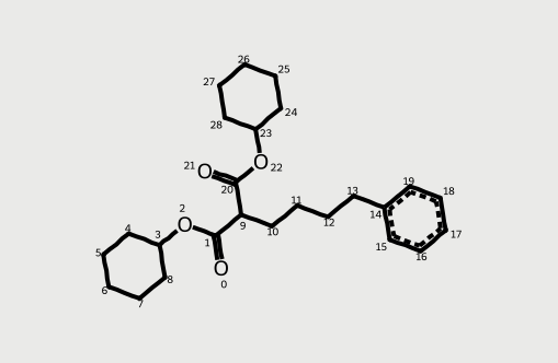 O=C(OC1CCCCC1)C(CCCCc1ccccc1)C(=O)OC1CCCCC1